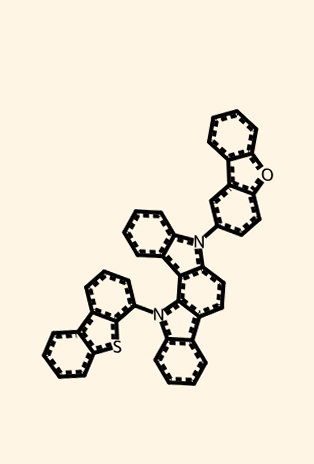 c1ccc2c(c1)oc1ccc(-n3c4ccccc4c4c3ccc3c5ccccc5n(-c5cccc6c5sc5ccccc56)c34)cc12